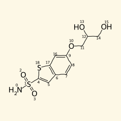 NS(=O)(=O)c1cc2ccc(OCC(O)CO)cc2s1